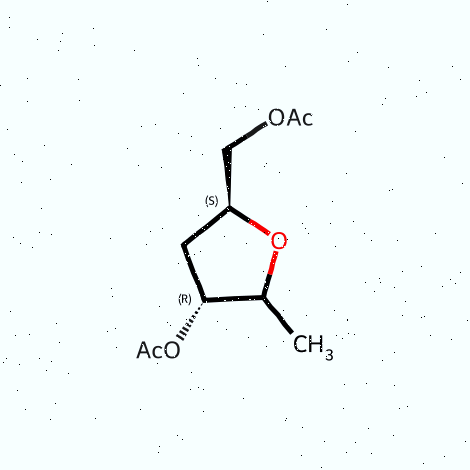 CC(=O)OC[C@@H]1C[C@@H](OC(C)=O)C(C)O1